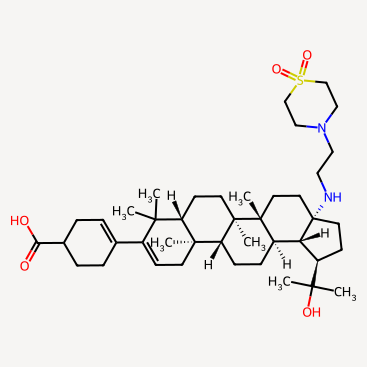 CC(C)(O)[C@@H]1CC[C@]2(NCCN3CCS(=O)(=O)CC3)CC[C@]3(C)[C@H](CC[C@@H]4[C@@]5(C)CC=C(C6=CCC(C(=O)O)CC6)C(C)(C)[C@@H]5CC[C@]43C)[C@@H]12